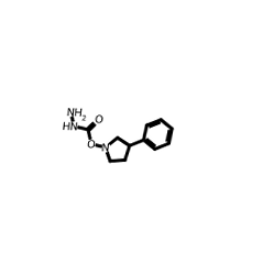 NNC(=O)ON1CCC(c2ccccc2)C1